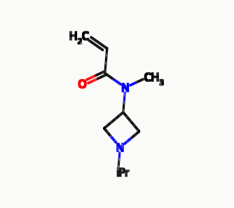 C=CC(=O)N(C)C1CN(C(C)C)C1